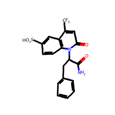 NC(=O)C(Cc1ccccc1)n1c(=O)cc(C(F)(F)F)c2cc(S(=O)(=O)O)ccc21